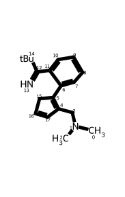 CN(C)CC1=C(c2ccccc2C(=N)C(C)(C)C)CC=C1